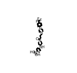 O=C(CCCN1CCN(c2ccc(C(F)(F)F)cc2)CC1)N1CCC(Nc2ccc(N(O)O)nc2)CC1